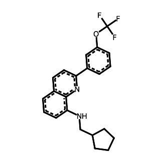 FC(F)(F)Oc1cccc(-c2ccc3cccc(NCC4CCCC4)c3n2)c1